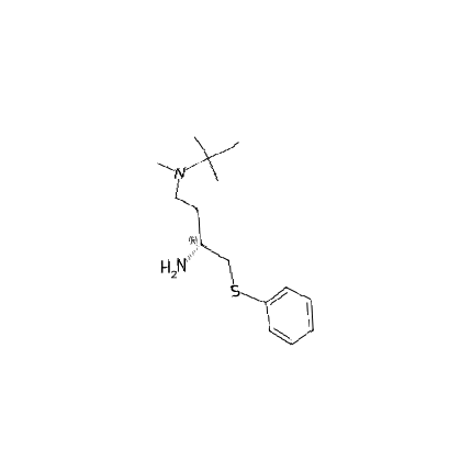 CN(CC[C@@H](N)CSc1ccccc1)C(C)(C)C